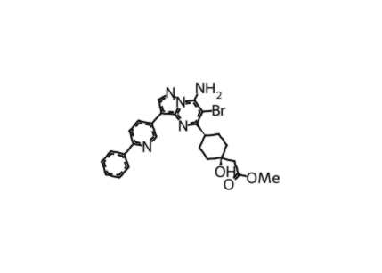 COC(=O)C[C@]1(O)CC[C@@H](c2nc3c(-c4ccc(-c5ccccc5)nc4)cnn3c(N)c2Br)CC1